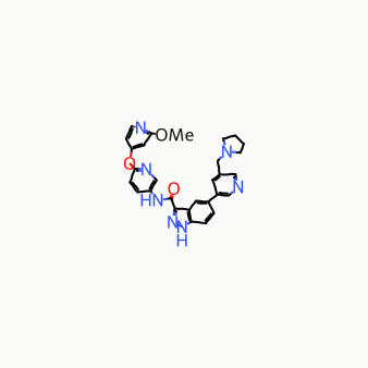 COc1cc(Oc2ccc(NC(=O)c3n[nH]c4ccc(-c5cncc(CN6CCCC6)c5)cc34)cn2)ccn1